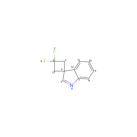 FC1(F)CC2(C=Nc3ccccc32)C1